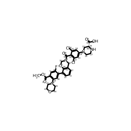 COC(=O)c1cc(F)c(-c2cccc3c2OCN(C(=O)c2c(Cl)cc(N4CCN[C@@H](C(=O)O)C4)cc2Cl)C3)cc1N1CCOCC1